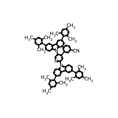 Cc1cc(C)c(-c2ccc3c(c2)c2cc(-c4c(C)cc(C)cc4C)ccc2n3-c2cc(-c3cccc(C#N)c3)c(-n3c4ccc(-c5c(C)cc(C)cc5C)cc4c4cc(-c5c(C)cc(C)cc5C)ccc43)cn2)c(C)c1